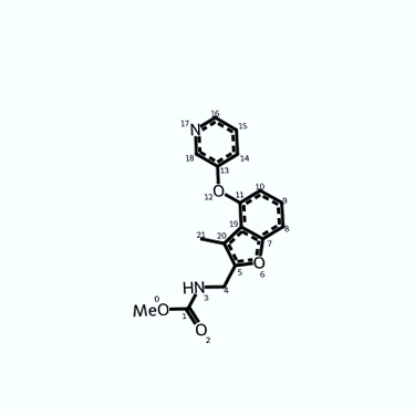 COC(=O)NCc1oc2cccc(Oc3cccnc3)c2c1C